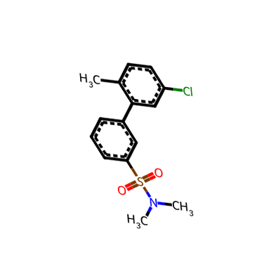 Cc1ccc(Cl)cc1-c1cccc(S(=O)(=O)N(C)C)c1